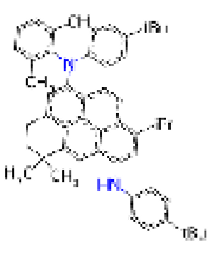 Cc1cccc(C)c1N(c1ccc(C(C)(C)C)cc1)c1cc2c3c(cc4c(Nc5ccc(C(C)(C)C)cc5)cc(C(C)C)c5ccc1c3c45)C(C)(C)CC2